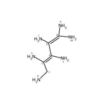 NCC(N)=C(N)C(N)=C(N)N